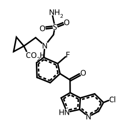 NS(=O)(=O)CN(CC1(C(=O)O)CC1)c1cccc(C(=O)c2c[nH]c3ncc(Cl)cc23)c1F